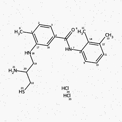 Cc1ccc(C(=O)Nc2cccc(C)c2C)cc1NCC(N)CS.Cl.Cl